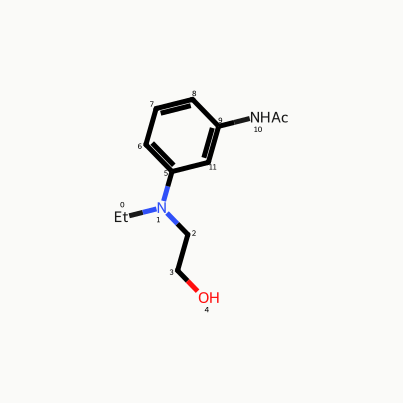 CCN(CCO)c1cccc(NC(C)=O)c1